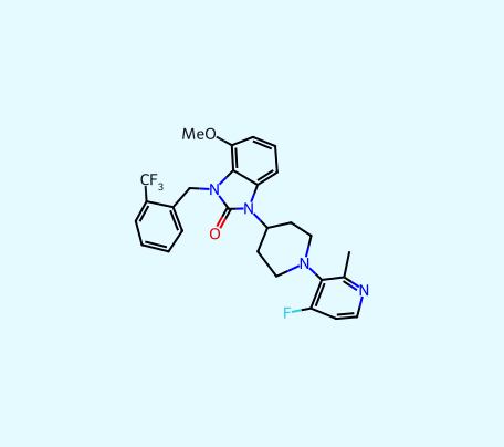 COc1cccc2c1n(Cc1ccccc1C(F)(F)F)c(=O)n2C1CCN(c2c(F)ccnc2C)CC1